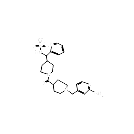 Nc1cc(CN2CCC(C(=O)N3CCC(C(NS(=O)(=O)C(F)(F)F)c4ccccn4)CC3)CC2)ccn1